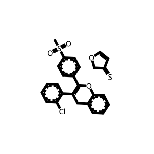 CS(=O)(=O)c1ccc(C2=C(c3ccccc3Cl)Cc3ccccc3O2)cc1.S=C1C=COC1